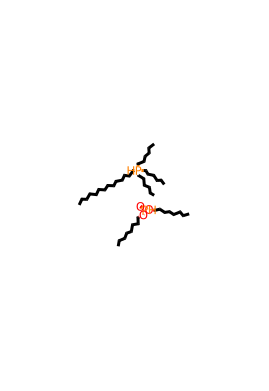 CCCCCCCCCCCCCC[PH](CCCCCC)(CCCCCC)CCCCCC.CCCCCCCCO[PH](=O)OCCCCCCCC